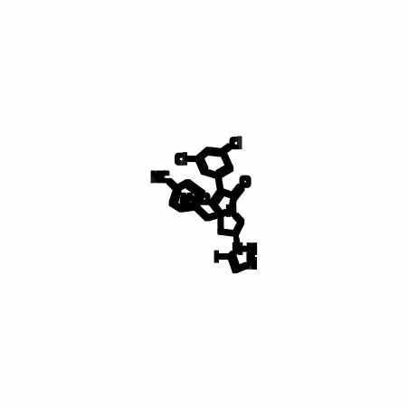 COC1=C(c2cc(Cl)cc(Cl)c2)C(=O)N2C[C@@H](n3nncc3I)CC12Cc1ccc(C#N)cc1